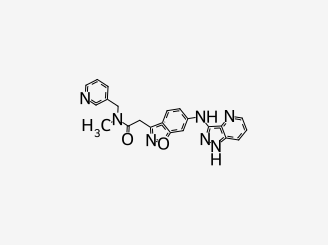 CN(Cc1cccnc1)C(=O)Cc1noc2cc(Nc3n[nH]c4cccnc34)ccc12